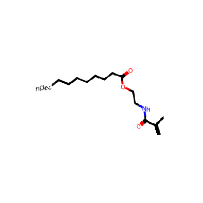 C=C(C)C(=O)NCCOC(=O)CCCCCCCCCCCCCCCCC